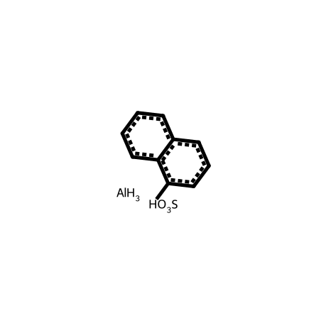 O=S(=O)(O)c1cccc2ccccc12.[AlH3]